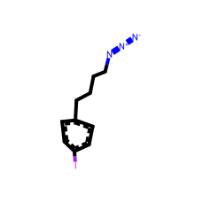 [N-]=[N+]=NCCCCc1ccc(I)cc1